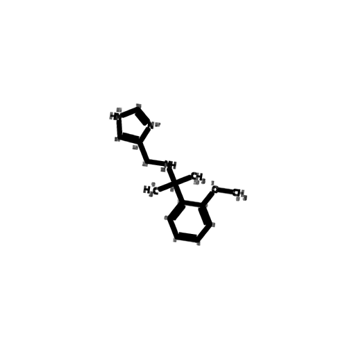 COc1ccccc1C(C)(C)NCc1c[nH]cn1